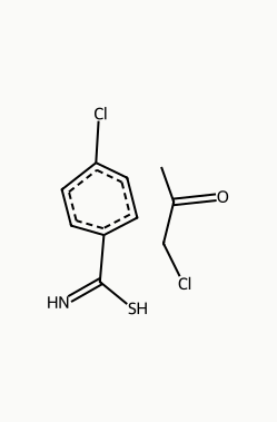 CC(=O)CCl.N=C(S)c1ccc(Cl)cc1